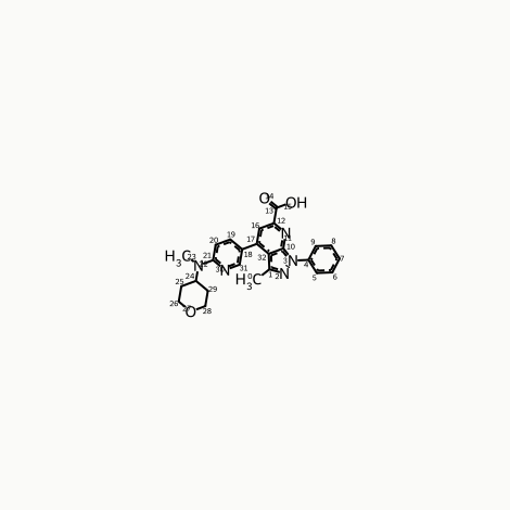 Cc1nn(-c2ccccc2)c2nc(C(=O)O)cc(-c3ccc(N(C)C4CCOCC4)nc3)c12